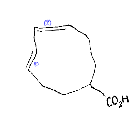 O=C(O)C1CC/C=C\C=C\CC1